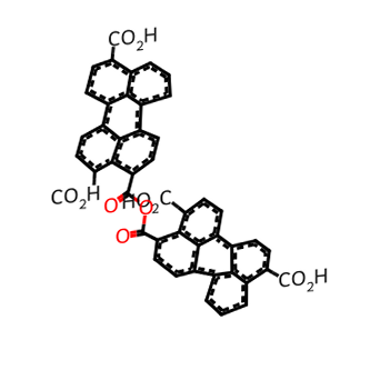 O=C(O)c1ccc2c3ccc(C(=O)O)c4c(C(=O)OC(=O)c5ccc6c7cccc8c(C(=O)O)ccc(c9ccc(C(=O)O)c5c96)c87)ccc(c5cccc1c25)c43